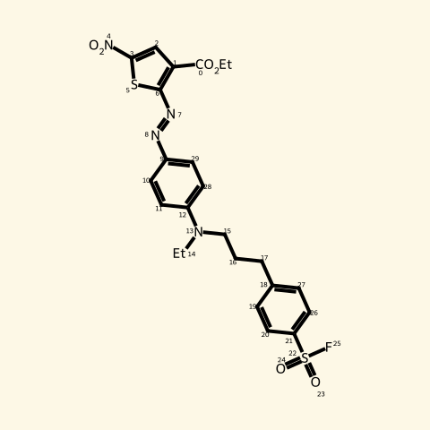 CCOC(=O)c1cc([N+](=O)[O-])sc1N=Nc1ccc(N(CC)CCCc2ccc(S(=O)(=O)F)cc2)cc1